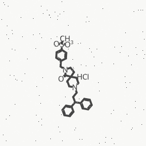 CS(=O)(=O)c1ccc(CN2CCC3(CCN(CCC(c4ccccc4)c4ccccc4)CC3)C2=O)cc1.Cl